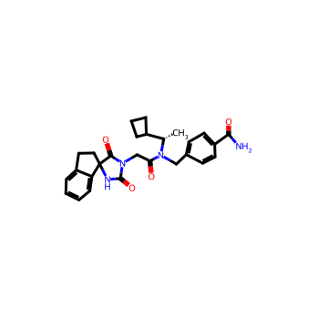 C[C@@H](C1CCC1)N(Cc1ccc(C(N)=O)cc1)C(=O)CN1C(=O)NC2(CCc3ccccc32)C1=O